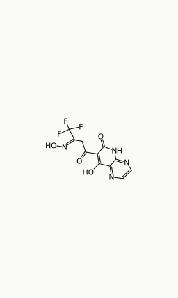 O=C(CC(=NO)C(F)(F)F)c1c(O)c2nccnc2[nH]c1=O